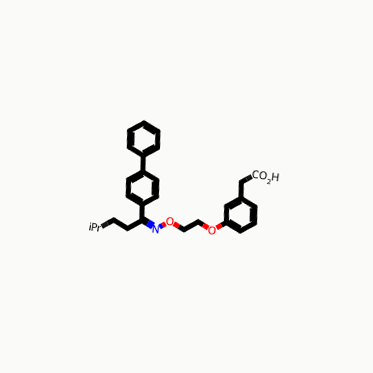 CC(C)CCC(=NOCCOc1cccc(CC(=O)O)c1)c1ccc(-c2ccccc2)cc1